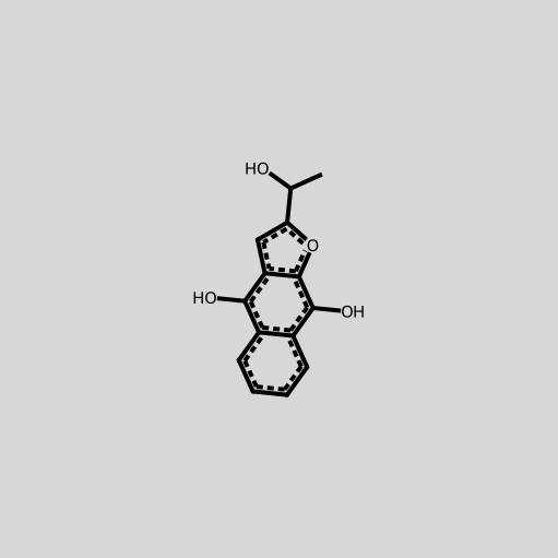 CC(O)c1cc2c(O)c3ccccc3c(O)c2o1